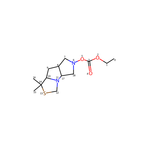 CCOC(=O)ON1CC2CC3N(CSC3(C)C)C2C1